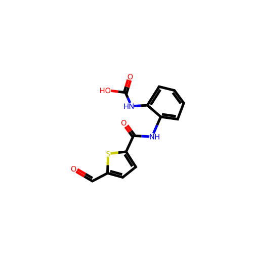 O=Cc1ccc(C(=O)Nc2ccccc2NC(=O)O)s1